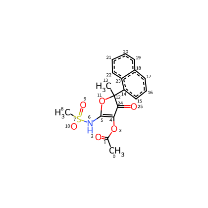 CC(=O)OC1=C(NS(C)(=O)=O)OC(C)(c2cccc3ccccc23)C1=O